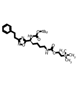 CC(C)(C)OC(=O)N[C@@H](CCCCNC(=O)OCC[Si](C)(C)C)c1nc(CCc2ccccc2)no1